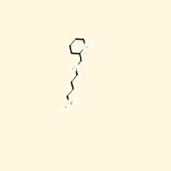 FNCCCCNCC1CCCCN1